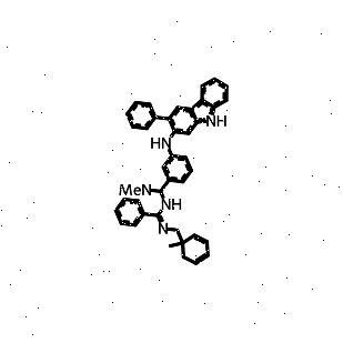 CNC(N/C(=N\CC1(C)C=CC=CC1)c1ccccc1)c1cccc(Nc2cc3[nH]c4ccccc4c3cc2-c2ccccc2)c1